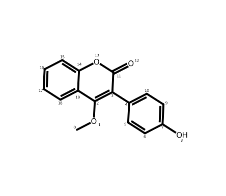 COc1c(-c2ccc(O)cc2)c(=O)oc2ccccc12